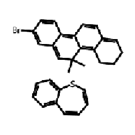 C1=CSc2ccccc2C=C1.CC1(C)C=c2cc(Br)ccc2=c2ccc3c(c21)CCCC=3